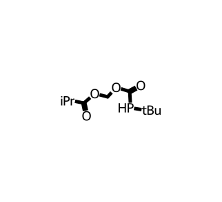 CC(C)C(=O)OCOC(=O)PC(C)(C)C